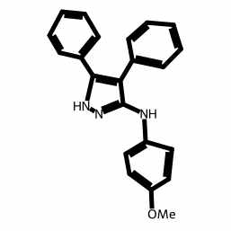 COc1ccc(Nc2n[nH]c(-c3ccccc3)c2-c2ccccc2)cc1